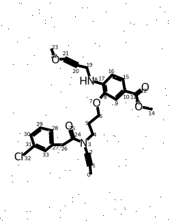 CC#CN(CCCOc1cc(C(=O)OC)ccc1NCC#COC)C(=O)Cc1cccc(Cl)c1